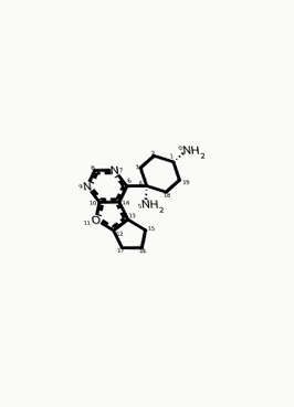 N[C@H]1CC[C@](N)(c2ncnc3oc4c(c32)CCC4)CC1